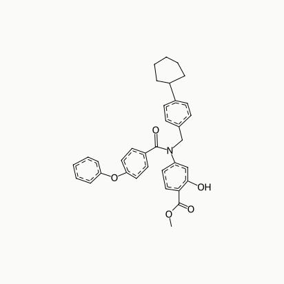 COC(=O)c1ccc(N(Cc2ccc(C3CCCCC3)cc2)C(=O)c2ccc(Oc3ccccc3)cc2)cc1O